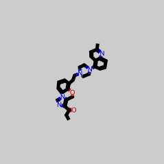 CCC(=O)c1ncn2c1COc1c(CCN3CCN(c4cccc5nc(C)ccc45)CC3)cccc1-2